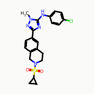 Cn1nc(-c2ccc3c(c2)CCN(S(=O)(=O)C2CC2)C3)nc1Nc1ccc(Cl)cc1